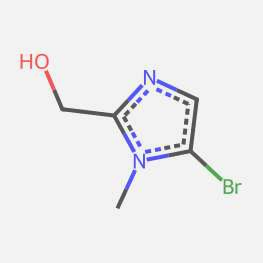 Cn1c(Br)cnc1CO